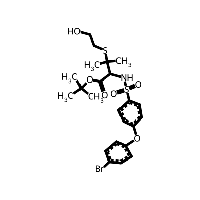 CC(C)(C)OC(=O)C(NS(=O)(=O)c1ccc(Oc2ccc(Br)cc2)cc1)C(C)(C)SCCO